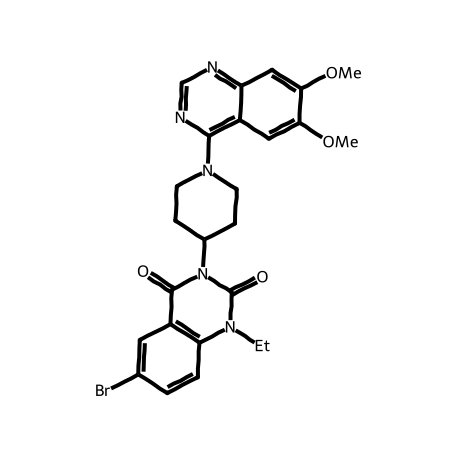 CCn1c(=O)n(C2CCN(c3ncnc4cc(OC)c(OC)cc34)CC2)c(=O)c2cc(Br)ccc21